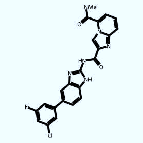 CNC(=O)c1cccc2nc(C(=O)Nc3nc4cc(-c5cc(F)cc(Cl)c5)ccc4[nH]3)cn12